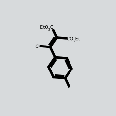 CCOC(=O)C(C(=O)OCC)=C(Cl)c1ccc(I)cc1